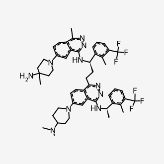 Cc1c([C@@H](C)Nc2nnc(CC[C@@H](Nc3nnc(C)c4ccc(N5CCC(C)(N)CC5)cc34)c3cccc(C(F)(F)F)c3C)c3ccc(N4CCC(N(C)C)CC4)cc23)cccc1C(F)(F)F